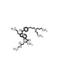 CCCCc1cc2cc(C(=O)C(C)NCC(=O)OCC)ccn2c1C(=O)c1ccc(CCCN(CCCC)CCCC)cc1